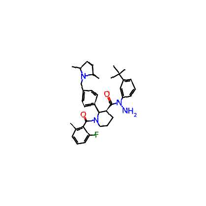 Cc1cccc(F)c1C(=O)N1CCC[C@H](C(=O)N(N)c2cccc(C(C)(C)C)c2)C1c1ccc(CN2C(C)CCC2C)cc1